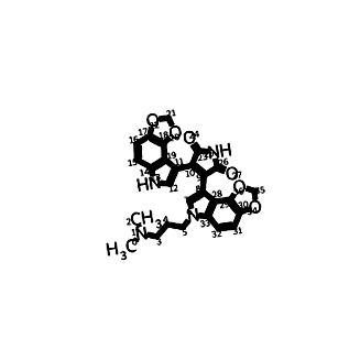 CN(C)CCCn1cc(C2=C(c3c[nH]c4ccc5c(c34)OCO5)C(=O)NC2=O)c2c3c(ccc21)OCO3